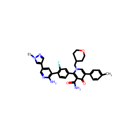 CCn1cc(-c2cnc(N)c(-c3ccc(-c4c(C(N)=O)c(=O)c(-c5ccc(C)cc5)cn4CC4CCOCC4)cc3F)c2)cn1